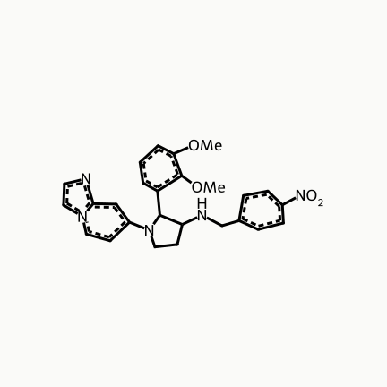 COc1cccc(C2C(NCc3ccc([N+](=O)[O-])cc3)CCN2c2ccn3ccnc3c2)c1OC